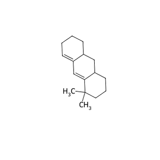 CC1(C)CCCC2CC3CCCC=C3C=C21